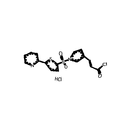 Cl.O=C(Cl)C=Cc1ccn(S(=O)(=O)c2ccc(-c3ccccn3)s2)c1